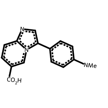 CNc1ccc(-c2cnc3ccc(C(=O)O)cn23)cc1